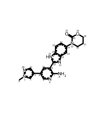 Cn1cc(-c2cnc(N)c(-c3nc4cc(N5CCCOC5=O)ccc4[nH]3)c2)cn1